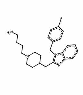 NCCCCN1CCC(Cc2nc3ccccc3n2Cc2ccc(F)cc2)CC1